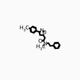 Cc1ccc(C2=NOC(CC(=O)N(C)CCc3ccccc3)C2)cc1